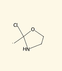 [CH2]C1(Cl)NCCO1